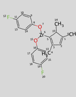 CC1=CC(C)=[C]([Zr]([O]c2ccc(F)cc2)[O]c2ccc(F)cc2)C1C